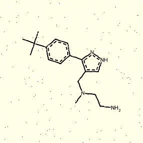 CN(CCN)Cc1c[nH]nc1-c1ccc(C(C)(C)C)cc1